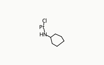 [Cl][Pt][NH]C1CCCCC1